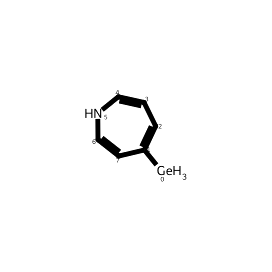 [GeH3][C]1=CC=CNC=C1